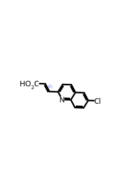 O=C(O)/C=C/c1ccc2cc(Cl)ccc2n1